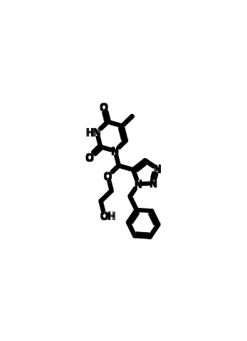 Cc1cn(C(OCCO)c2cnnn2Cc2ccccc2)c(=O)[nH]c1=O